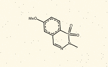 COc1ccc2c(c1)C=NN(C)S2(=O)=O